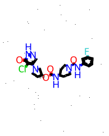 O=C(NC1CCN(C(=O)Nc2cccc(F)c2)CC1)O[C@@H]1CCN(c2cn[nH]c(=O)c2Cl)C1